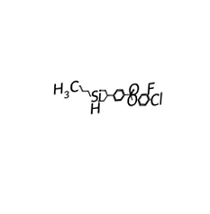 CCCCC[SiH]1CCC(c2ccc(C(=O)Oc3ccc(Cl)c(F)c3)cc2)CC1